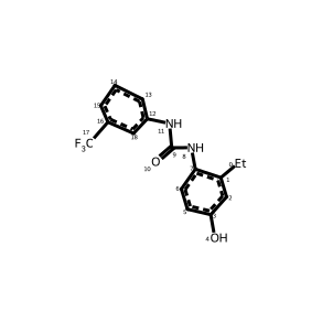 CCc1cc(O)ccc1NC(=O)Nc1cccc(C(F)(F)F)c1